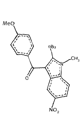 CCCCc1c(C(=O)c2ccc(OC)cc2)c2cc([N+](=O)[O-])ccc2n1C